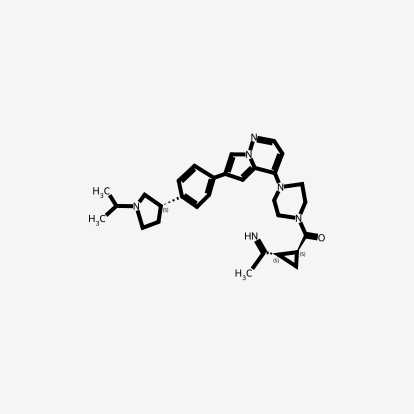 CC(=N)[C@H]1C[C@@H]1C(=O)N1CCN(c2ccnn3cc(-c4ccc([C@@H]5CCN(C(C)C)C5)cc4)cc23)CC1